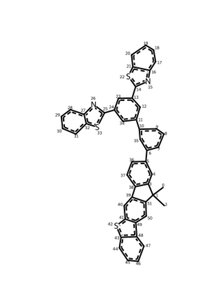 CC1(C)c2cc(-c3cccc(-c4cc(-c5nc6ccccc6s5)cc(-c5nc6ccccc6s5)c4)c3)ccc2-c2cc3sc4ccccc4c3cc21